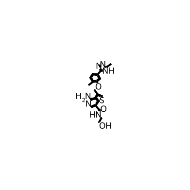 Cc1nnc(-c2ccc(C)c(OCc3csc4c(C(=O)NCCO)cnc(N)c34)c2)[nH]1